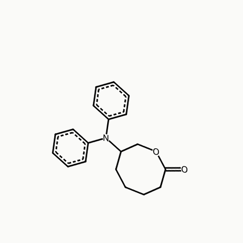 O=C1CCCCC(N(c2ccccc2)c2ccccc2)CO1